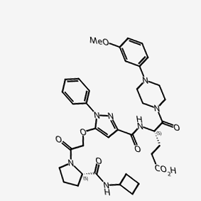 COc1cccc(N2CCN(C(=O)[C@H](CCC(=O)O)NC(=O)c3cc(OCC(=O)N4CCC[C@H]4C(=O)NC4CCC4)n(-c4ccccc4)n3)CC2)c1